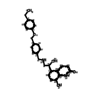 CCc1ccc(OCc2ccc(CNCC(O)c3ccc(O)c4[nH]c(=O)ccc34)cc2)cc1